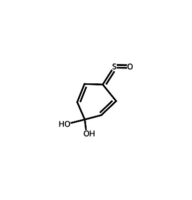 O=S=C1C=CC(O)(O)C=C1